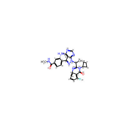 CNC(=O)c1ccc(-c2nn(C(C)c3nc4cccc(F)c4c(=O)n3C3CCC3)c3ncnc(N)c23)cc1